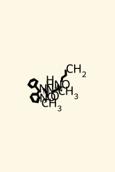 C=CCCC(=O)N[C@@H](C)C(=O)N[C@H]1N=C(c2ccccc2)c2ccccc2N(C)C1=O